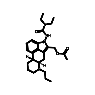 CCCN1CCC[C@@H]2c3cccc4c3c(c(COC(C)=O)n4NC(=O)N(CC)CC)C[C@H]21